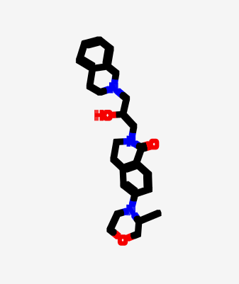 CC1COCCN1c1ccc2c(c1)CCN(CC(O)CN1CCc3ccccc3C1)C2=O